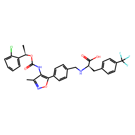 Cc1noc(-c2ccc(CN[C@H](Cc3ccc(C(F)(F)F)cc3)C(=O)O)cc2)c1NC(=O)O[C@H](C)c1ccccc1Cl